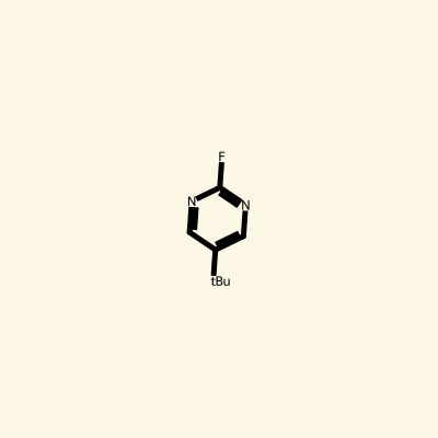 CC(C)(C)c1cnc(F)nc1